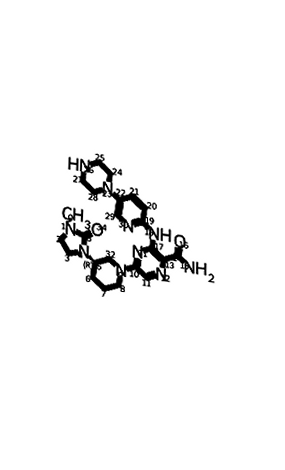 CN1CCN([C@@H]2CCCN(c3cnc(C(N)=O)c(Nc4ccc(N5CCNCC5)cn4)n3)C2)C1=O